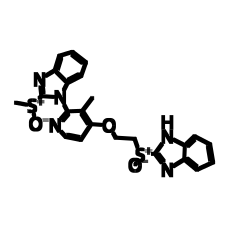 Cc1c(OCC[S+]([O-])c2nc3ccccc3[nH]2)ccnc1-n1c([S+](C)[O-])nc2ccccc21